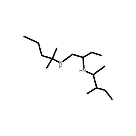 CCCC(C)(C)NC[C](CC)NC(C)C(C)CC